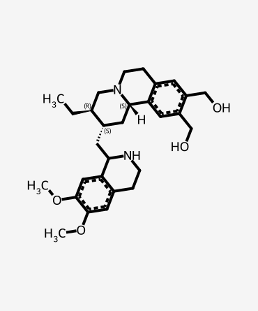 CC[C@H]1CN2CCc3cc(CO)c(CO)cc3[C@@H]2C[C@@H]1CC1NCCc2cc(OC)c(OC)cc21